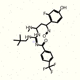 CNC(CC(N=O)c1ccc(O)cc1F)N/C(=N\C(=O)c1ccc(C(F)(F)F)cc1)NCC(C)(C)C